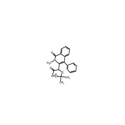 Cn1c(C(OC(C)(C)C)C(=O)O)c(-c2cccnc2)c2ccccc2c1=O